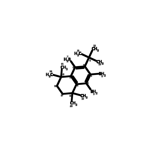 Bc1c(B)c2c(c(B)c1C(C)(C)C)C(C)(C)CCC2(C)C